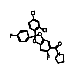 O=C(c1cc2c(cc1F)OC(c1ccc(F)cc1)(c1ccc(Cl)cc1Cl)O2)N1CCCC1